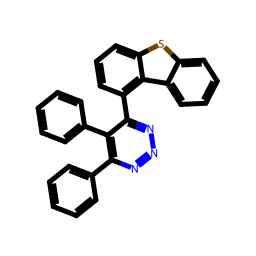 c1ccc(-c2nnnc(-c3cccc4sc5ccccc5c34)c2-c2ccccc2)cc1